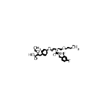 CCCCOCCN(CCOc1ccc(CC(OCC)C(=O)O)cc1)C(=O)NCc1ccc(F)cc1F